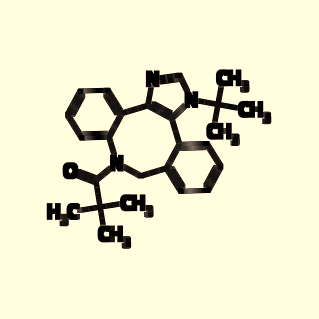 CC(C)(C)C(=O)N1Cc2ccccc2-c2c(ncn2C(C)(C)C)-c2ccccc21